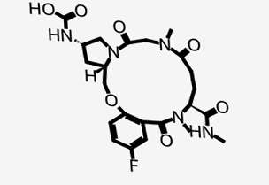 CNC(=O)[C@@H]1CCC(=O)N(C)CC(=O)N2C[C@@H](NC(=O)O)C[C@H]2COc2ccc(F)cc2C(=O)N1C